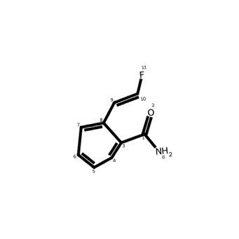 NC(=O)c1ccccc1C=CF